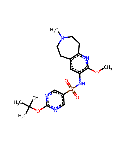 COc1nc2c(cc1NS(=O)(=O)c1cnc(OC(C)(C)C)nc1)CCN(C)CC2